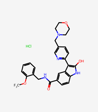 Cl.O=C(NCc1ccccc1OC(F)(F)F)c1ccc2[nH]c(O)c(-c3ccc(CN4CCOCC4)cn3)c2c1